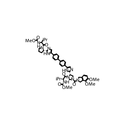 COC(=O)NC(C(=O)N1CCC[C@H]1c1ncc(-c2ccc(-c3ccc(-c4cnc([C@@H]5CN(C(=O)N6Cc7ccc(OC)c(OC)c7C6)CN5C(=O)[C@@H](NC(=O)OC)C(C)C)[nH]4)cc3)cc2)[nH]1)C(C)C